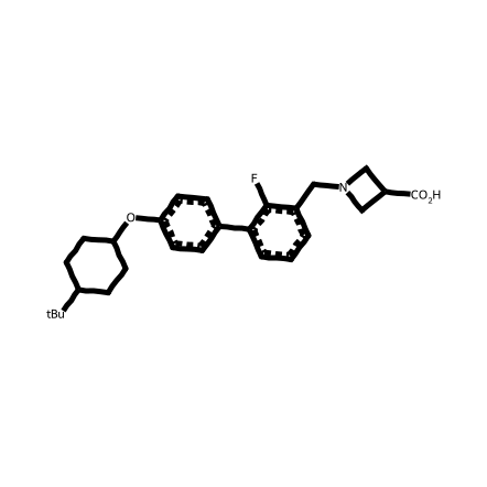 CC(C)(C)C1CCC(Oc2ccc(-c3cccc(CN4CC(C(=O)O)C4)c3F)cc2)CC1